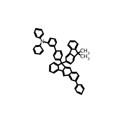 CC1(C)c2ccccc2-c2cc(C3(c4ccc(-c5cccc(N(c6ccccc6)c6ccccc6)c5)cc4)c4ccccc4-c4cc5cc(-c6ccccc6)ccc5cc43)ccc21